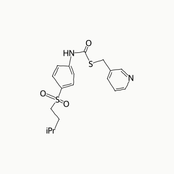 CC(C)CCS(=O)(=O)c1ccc(NC(=O)SCc2cccnc2)cc1